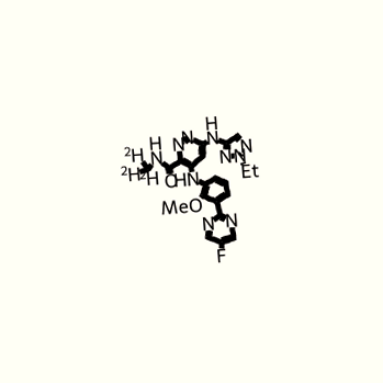 [2H]C([2H])([2H])NC(=O)c1nnc(Nc2cnn(CC)n2)cc1Nc1cccc(-c2ncc(F)cn2)c1OC